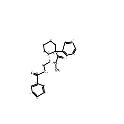 CNC(=S)[C@]1(c2cccnc2)CCCC[C@H]1CCOC(=O)c1ccccc1